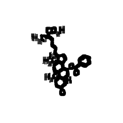 CC(CCC[C@@H](I)[C@H]1CCC2C3C(CC[C@@]21C)[C@@]1(C)CCC(=O)C[C@@H]1C[C@H]3OC(=O)c1ccccc1)C(=O)O